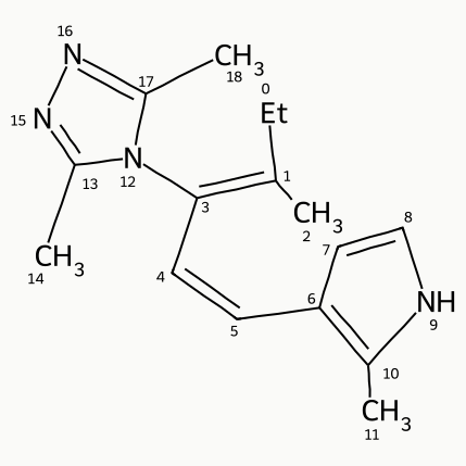 CC/C(C)=C(/C=C\c1cc[nH]c1C)n1c(C)nnc1C